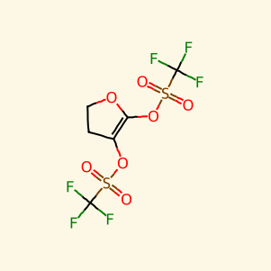 O=S(=O)(OC1=C(OS(=O)(=O)C(F)(F)F)OCC1)C(F)(F)F